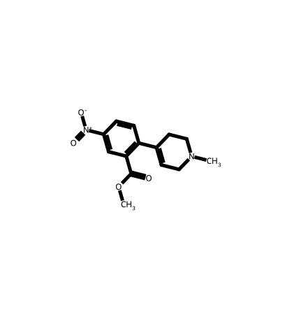 COC(=O)c1cc([N+](=O)[O-])ccc1C1=CCN(C)CC1